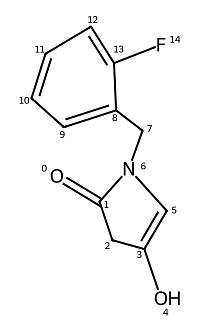 O=C1CC(O)=CN1Cc1ccccc1F